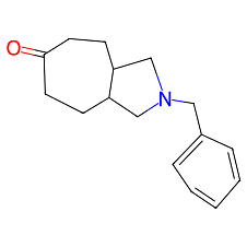 O=C1CCC2CN(Cc3ccccc3)CC2CC1